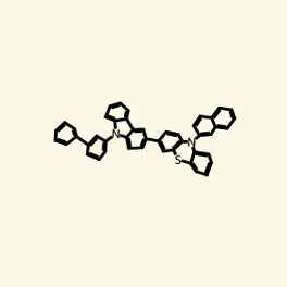 c1ccc(-c2cccc(-n3c4ccccc4c4cc(-c5ccc6c(c5)Sc5ccccc5N6c5ccc6ccccc6c5)ccc43)c2)cc1